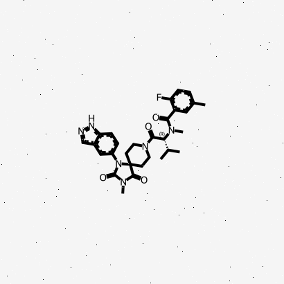 Cc1ccc(F)c(C(=O)N(C)[C@@H](C(=O)N2CCC3(CC2)C(=O)N(C)C(=O)N3c2ccc3[nH]ncc3c2)C(C)C)c1